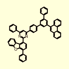 c1ccc(-c2cc(-c3ccc(-c4cc(-c5ccccc5)nc(-c5ccc(-c6ccccc6)c6oc7ccccc7c56)n4)cc3)cc(-c3cc4ccccc4c4ccccc34)c2)cc1